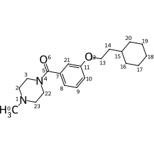 CN1CCN(C(=O)c2cccc(OCCC3CCCCC3)c2)CC1